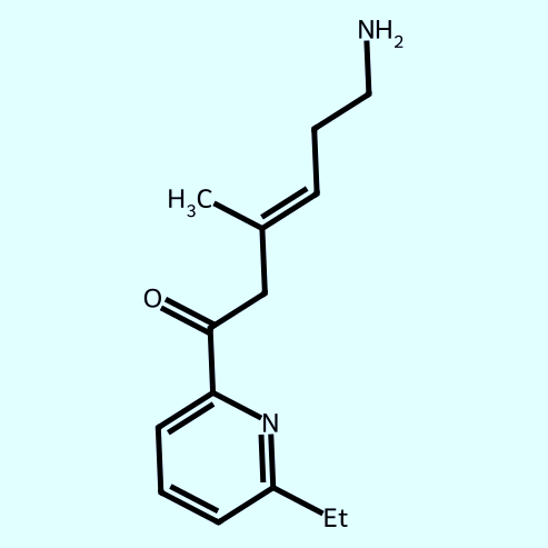 CCc1cccc(C(=O)C/C(C)=C/CCN)n1